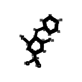 O=[N+]([O-])c1cc(F)c(Sc2ccncc2)c(F)c1